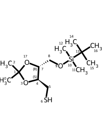 CC1(C)O[C@H](CS)[C@@H](CO[Si](C)(C)C(C)(C)C)O1